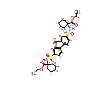 CCOC(=O)C1(NS(=O)(=O)c2ccc3c(c2)C(=O)c2cc(S(=O)(=O)NC4(C(=O)OCC)CCCCC4)ccc2-3)CCCCC1